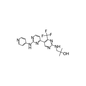 CC(C)(O)CNc1ncc(-c2ccnc(Nc3ccncc3)n2)c(C(F)(F)F)n1